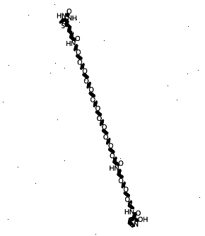 O=C(CCCCC1SCC2NC(=O)NC21)NCCOCCOCCOCCOCCOCCOCCOCCOCCOCCOCCOCCOCCC(=O)NCCCOCCOCCOCCCNC(=O)c1cccnc1O